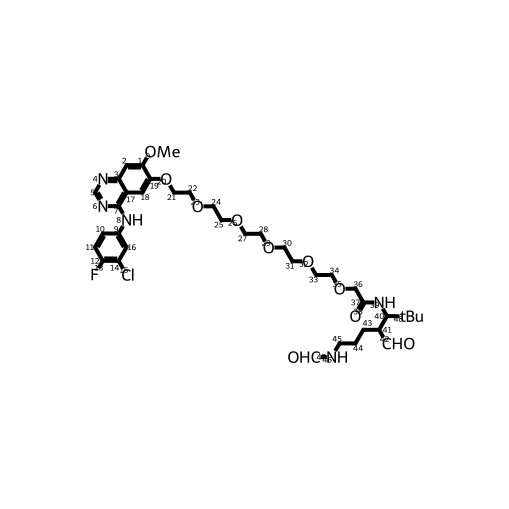 COc1cc2ncnc(Nc3ccc(F)c(Cl)c3)c2cc1OCCOCCOCCOCCOCCOCC(=O)NC(C(C=O)CCCNC=O)C(C)(C)C